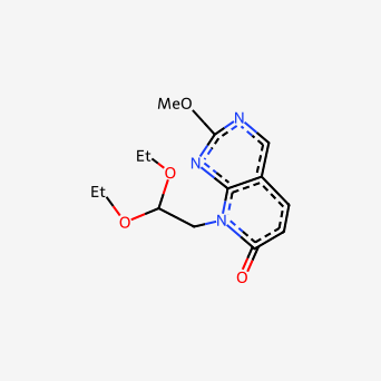 CCOC(Cn1c(=O)ccc2cnc(OC)nc21)OCC